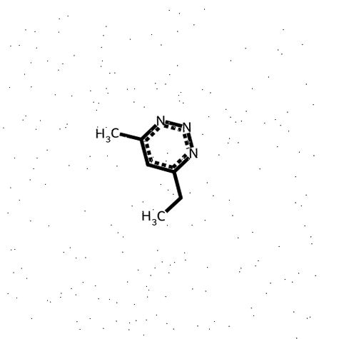 CCc1cc(C)nnn1